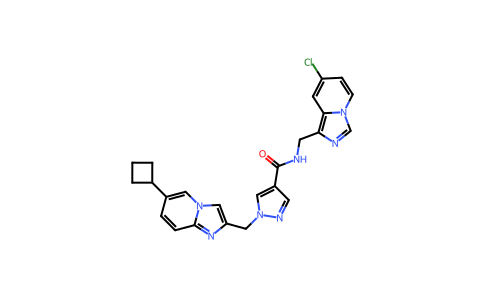 O=C(NCc1ncn2ccc(Cl)cc12)c1cnn(Cc2cn3cc(C4CCC4)ccc3n2)c1